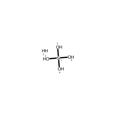 O[Si](O)(O)O.[HH]